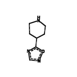 c1noc(C2CCNCC2)n1